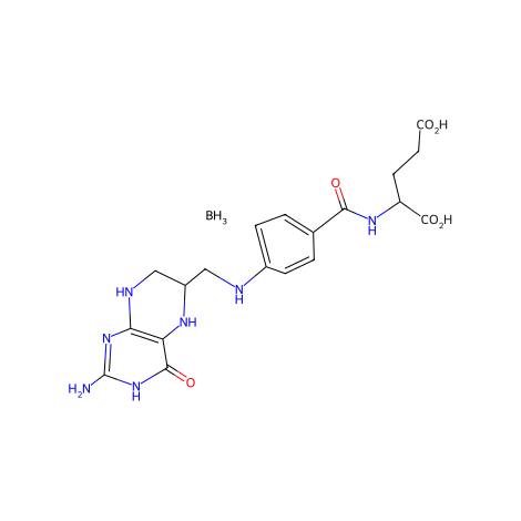 B.Nc1nc2c(c(=O)[nH]1)NC(CNc1ccc(C(=O)NC(CCC(=O)O)C(=O)O)cc1)CN2